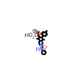 Cc1ccc(-c2c(C)c3c(c(C)c2[C@H](OC(C)(C)C)C(=O)O)CCN(C(=O)NC2CCCCC2)C3)cc1